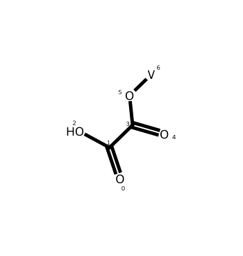 O=C(O)C(=O)[O][V]